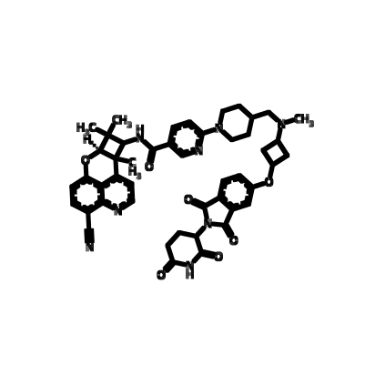 CN(CC1CCN(c2ccc(C(=O)NC3C(C)(C)[C@@H]4Oc5ccc(C#N)c6nccc(c56)C34C)cn2)CC1)C1CC(Oc2ccc3c(c2)C(=O)N(C2CCC(=O)NC2=O)C3=O)C1